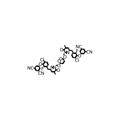 Cc1cc(Cc2ccc(Cl)c(Oc3cc(C#N)cc(C#N)c3)c2F)nn(COC(=O)/C=C\C(=O)OCn2nc(Cc3ccc(Cl)c(Oc4cc(C#N)cc(C#N)c4)c3F)cc(C)c2=O)c1=O